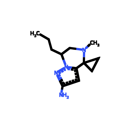 CCCC1CN(C)C2(CC2)c2cc(N)nn21